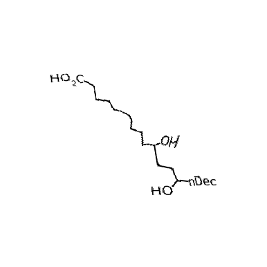 CCCCCCCCCCC(O)CCC(O)CCCCCCCCC(=O)O